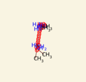 CCCCCCCCCCCCCCOCC(CNC(=O)CC[C@H](NC(=O)CCOCCOCCOCCOCCOCCOCCOCCOCCNC(=O)/C=C/C(=O)N(CC(N)=O)NC(=O)[C@H](C)NC(=O)[C@H](C)NC(=O)O)C(N)=O)OCCCCCCCCCCCCCC